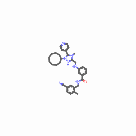 Cc1ccc(C#N)cc1CNC(=O)c1cccc(NCC2NN(C3CCCCCCCC3)C(c3ccncc3)N2C)c1